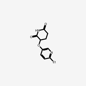 CCc1ccc(OC2CCC(=O)NC2=O)cn1